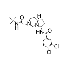 CC(C)(C)NC(=O)CN1CC[C@@H]2CC[C@@H](NC(=O)c3ccc(Cl)c(Cl)c3)N2C1